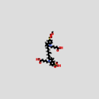 COOOSc1ccc2c(c1)C(C)(C)C(/C=C/C=C(C)/C=C/C=C1/N(CCCCC(=O)O)c3ccc(S(=O)(=O)O)cc3C1(C)C)=[N+]2CCCCC(=O)O